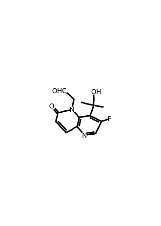 CC(C)(O)c1c(F)cnc2ccc(=O)n(CC=O)c12